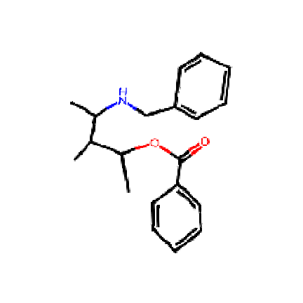 CC(NCc1ccccc1)C(C)C(C)OC(=O)c1ccccc1